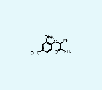 CCC(Oc1ccc(C=O)cc1OC)C(N)=O